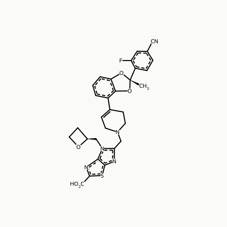 C[C@]1(c2ccc(C#N)cc2F)Oc2cccc(C3=CCN(Cc4nc5sc(C(=O)O)nc5n4C[C@@H]4CCO4)CC3)c2O1